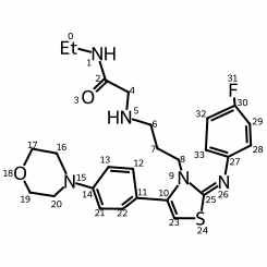 CCNC(=O)CNCCCn1c(-c2ccc(N3CCOCC3)cc2)cs/c1=N/c1ccc(F)cc1